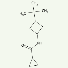 CC(C)(C)C1CC(NC(=O)C2CC2)C1